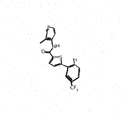 CCc1ccc(C(F)(F)F)cc1-c1ccc(C(=O)Nc2ccncc2C)s1